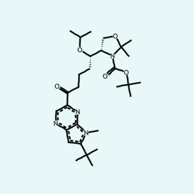 CC(C)O[C@@H](CCCC(=O)c1cnc2cc(C(C)(C)C)n(C)c2n1)[C@@H]1COC(C)(C)N1C(=O)OC(C)(C)C